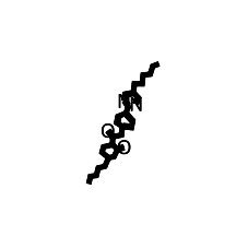 CCCCCCc1cnc(-c2ccc(CC(=O)C3CCC(CCCCC)CC3=O)cc2)nc1